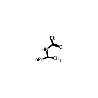 C[CH]C(=O)NC(C)CCC